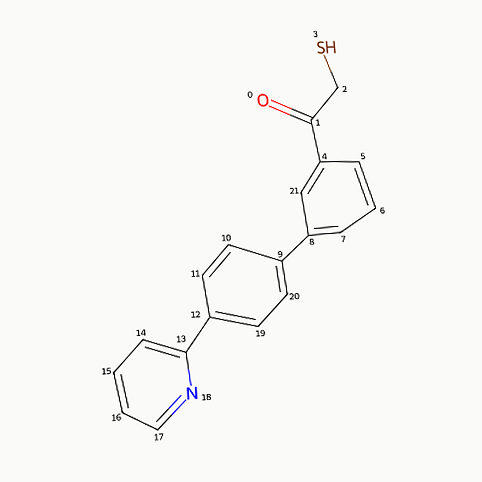 O=C(CS)c1cccc(-c2ccc(-c3ccccn3)cc2)c1